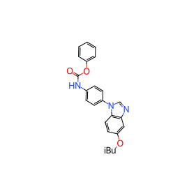 CCC(C)Oc1ccc2c(c1)ncn2-c1ccc(NC(=O)Oc2ccccc2)cc1